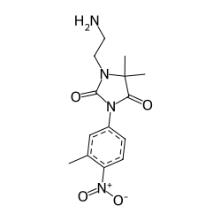 Cc1cc(N2C(=O)N(CCN)C(C)(C)C2=O)ccc1[N+](=O)[O-]